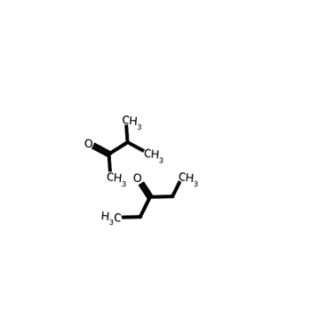 CC(=O)C(C)C.CCC(=O)CC